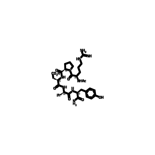 CC(=O)N[C@H](CCCNC(=N)N)C(=O)N1CCC[C@H]1C(=O)N[C@@H](CC(=O)O)C(=O)N[C@H](C(=O)N[C@@H](Cc1ccc(O)cc1)C(N)=O)C(C)C